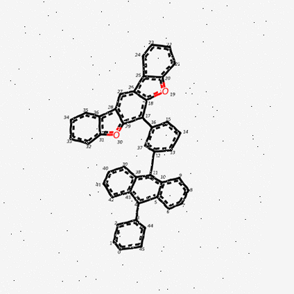 c1ccc(-c2c3ccccc3c(-c3cccc(-c4c5oc6ccccc6c5cc5c4oc4ccccc45)c3)c3ccccc23)cc1